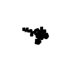 CCOC(=O)c1ccc(NS(=O)(=O)c2cccs2)c(NS(=O)(=O)c2cccs2)c1